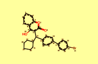 O=c1oc2ccccc2c(O)c1C(c1ccc(-c2ccc(Br)cc2)cc1)C1CCCCC1